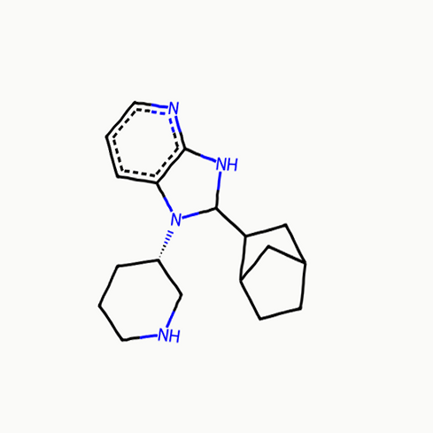 c1cnc2c(c1)N([C@H]1CCCNC1)C(C1CC3CCC1C3)N2